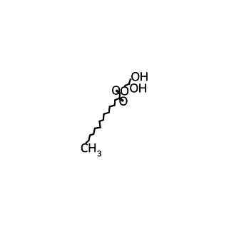 CCCCCCCCCCCCCCC(=O)C(=O)OCC(O)CO